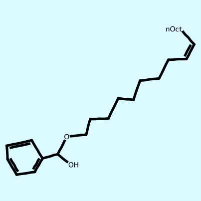 CCCCCCCC/C=C\CCCCCCCCOC(O)c1ccccc1